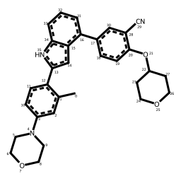 Cc1cc(N2CCOCC2)ccc1-c1cc2c(-c3ccc(OC4CCOCC4)c(C#N)c3)cccc2[nH]1